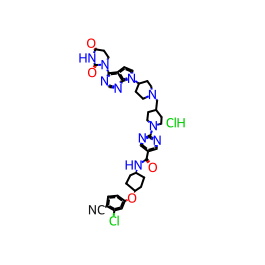 Cl.N#Cc1ccc(O[C@H]2CC[C@H](NC(=O)c3cnc(N4CCC(CN5CCC(n6ccc7c(N8CCC(=O)NC8=O)ncnc76)CC5)CC4)nc3)CC2)cc1Cl